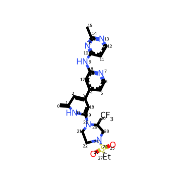 C=C1C=C(c2ccnc(Nc3ccnc(C)n3)c2)C=C(N2CCN(S(=O)(=O)CC)CC2C(F)(F)F)N1